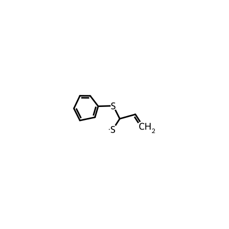 C=CC([S])Sc1ccccc1